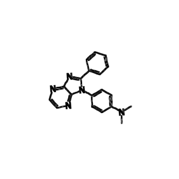 CN(C)c1ccc(-n2c(-c3ccccc3)nc3nccnc32)cc1